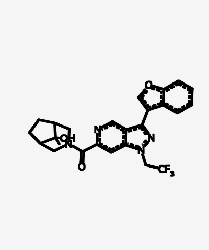 CC1(O)C2CCC1CN(C(=O)c1cc3c(cn1)c(-c1coc4ccccc14)nn3CC(F)(F)F)C2